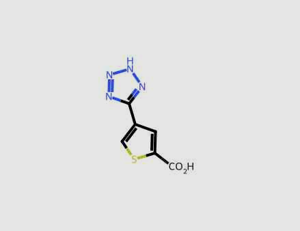 O=C(O)c1cc(-c2nn[nH]n2)cs1